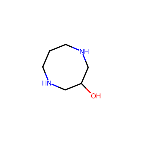 OC1CNCCCNC1